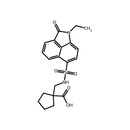 CCN1C(=O)c2cccc3c(S(=O)(=O)NCC4(C(=O)O)CCCC4)ccc1c23